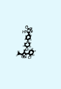 O=c1[nH]c(-c2ccc(N3CCC(OCc4c(-c5ccccc5Cl)noc4C4CC4)CC3)cc2)no1